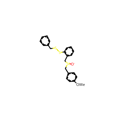 COc1ccc(C[S+]([O-])Cc2ccccc2SSCc2ccccc2)cc1